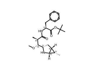 CO[C@@H]([C@@H]1C[C@@H]2[C@H](C)[C@@H]2N1)[C@@H](C)C(=O)N[C@@H](Cc1ccccc1)C(=O)OC(C)(C)C